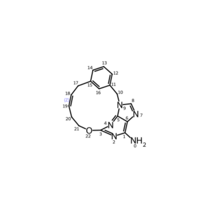 Nc1nc2nc3c1ncn3Cc1cccc(c1)C/C=C\CCO2